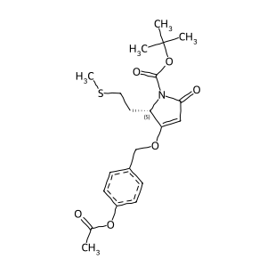 CSCC[C@H]1C(OCc2ccc(OC(C)=O)cc2)=CC(=O)N1C(=O)OC(C)(C)C